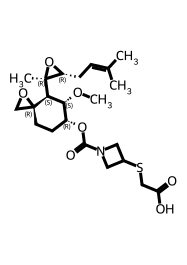 CO[C@@H]1[C@H](OC(=O)N2CC(SCC(=O)O)C2)CC[C@]2(CO2)[C@H]1[C@@]1(C)O[C@@H]1CC=C(C)C